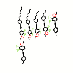 CCCCCCCc1ccc(C#Cc2ccc(OCC)c(F)c2F)cc1.CCCCCCc1ccc(C#Cc2ccc(OCC)c(F)c2F)cc1.CCCCc1ccc(C#Cc2ccc(OCC)c(F)c2F)cc1.CCCc1ccc(C#Cc2ccc(OCC)c(F)c2F)cc1.CCOc1ccc(C#Cc2ccc(C)cc2)c(F)c1F.CCOc1ccc(C#Cc2ccc(CC)cc2)c(F)c1F